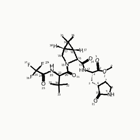 COC(=O)[C@H](C[C@@H]1CCNC1=O)NC(=O)[C@@H]1[C@@H]2[C@H](CN1C(=O)C(NC(=O)C(F)(F)F)C(C)(C)C)C2(C)C